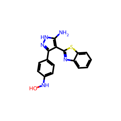 Nc1[nH]nc(-c2ccc(NO)cc2)c1-c1nc2ccccc2s1